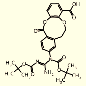 CC(C)(C)OC(=O)N=C(N)N(C(=O)OC(C)(C)C)c1ccc2c(c1)CCOc1c(cccc1C(=O)O)OC2=O